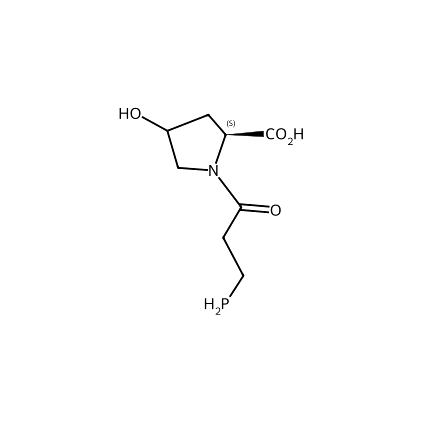 O=C(O)[C@@H]1CC(O)CN1C(=O)CCP